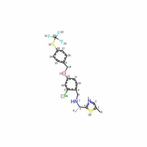 Cc1cnc([C@H](C)NCc2ccc(OCc3ccc(SC(F)(F)F)cc3)cc2Cl)s1